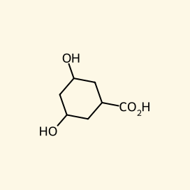 O=C(O)C1CC(O)CC(O)C1